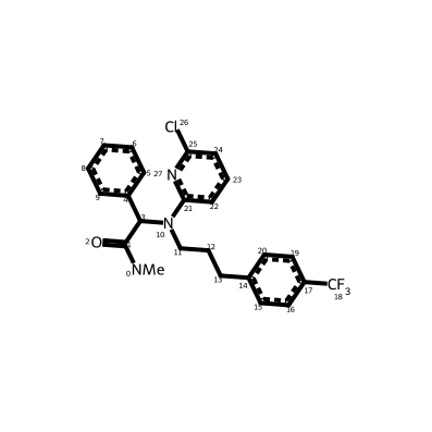 CNC(=O)C(c1ccccc1)N(CCCc1ccc(C(F)(F)F)cc1)c1cccc(Cl)n1